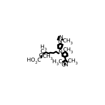 Cc1ccc(-c2c(C)noc2C)cc1N(CCCCCCC(C)(C)OCC(=O)O)c1ccc(-n2ccnc2C)cc1